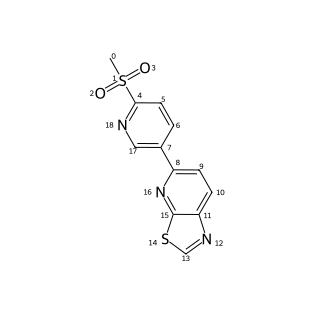 CS(=O)(=O)c1ccc(-c2ccc3ncsc3n2)cn1